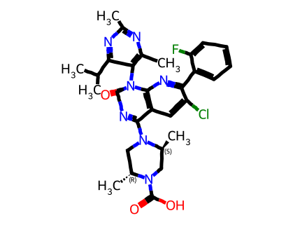 Cc1nc(C)c(-n2c(=O)nc(N3C[C@@H](C)N(C(=O)O)C[C@@H]3C)c3cc(Cl)c(-c4ccccc4F)nc32)c(C(C)C)n1